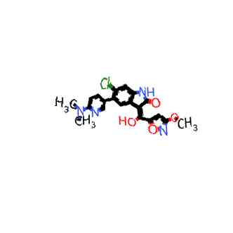 COc1cc(C(O)=C2C(=O)Nc3cc(Cl)c(-c4ccc(N(C)C)nc4)cc32)on1